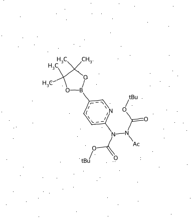 CC(=O)N(C(=O)OC(C)(C)C)N(C(=O)OC(C)(C)C)c1ccc(B2OC(C)(C)C(C)(C)O2)cn1